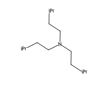 CC(C)CCN(CCC(C)C)CCC(C)C